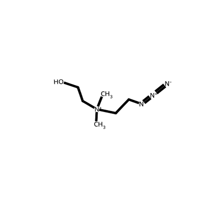 C[N+](C)(CCO)CCN=[N+]=[N-]